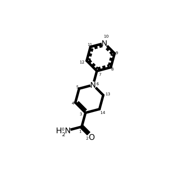 NC(=O)C1=CCN(c2ccncc2)CC1